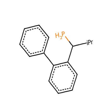 CC(C)C(P)c1ccccc1-c1ccccc1